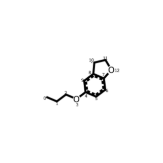 CCCOc1ccc2c(c1)[CH]CO2